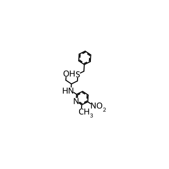 Cc1nc(NC(CO)CSCc2ccccc2)ccc1[N+](=O)[O-]